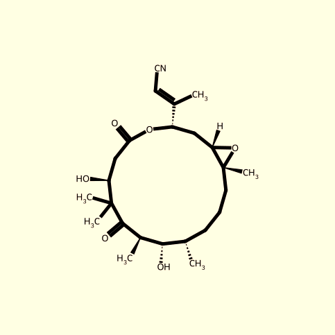 C/C(=C\C#N)[C@@H]1C[C@@H]2O[C@]2(C)CCC[C@H](C)[C@H](O)[C@@H](C)C(=O)C(C)(C)[C@@H](O)CC(=O)O1